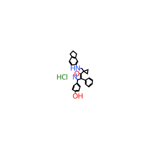 Cl.Oc1ccc(-c2noc(C3(CNc4ccc5c(c4)CCC5)CC3)c2-c2ccccc2)cc1